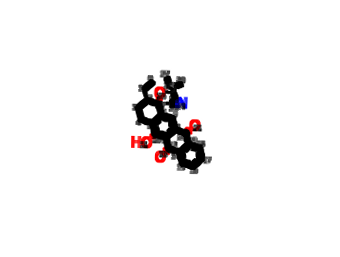 CC[C@@H]1CCc2c(cc3c(c2O)C(=O)c2ccccc2C3=O)[C@]1(C#N)O[Si](C)(C)C